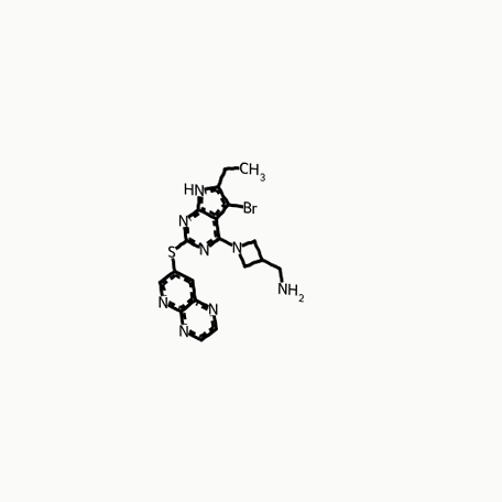 CCc1[nH]c2nc(Sc3cnc4nccnc4c3)nc(N3CC(CN)C3)c2c1Br